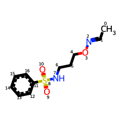 CC=NOCCCNS(=O)(=O)c1ccccc1